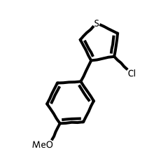 COc1ccc(-c2cscc2Cl)cc1